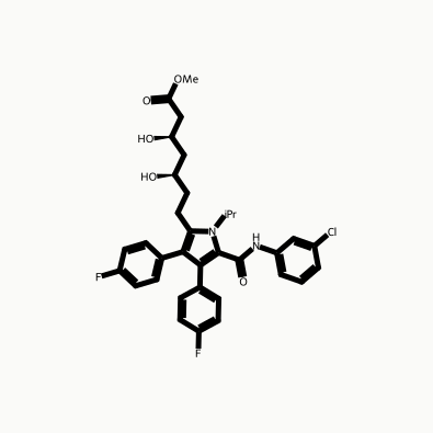 COC(=O)C[C@H](O)C[C@H](O)CCc1c(-c2ccc(F)cc2)c(-c2ccc(F)cc2)c(C(=O)Nc2cccc(Cl)c2)n1C(C)C